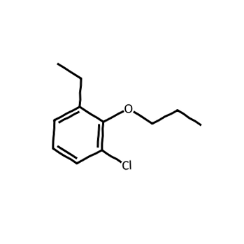 CCCOc1c(Cl)cccc1CC